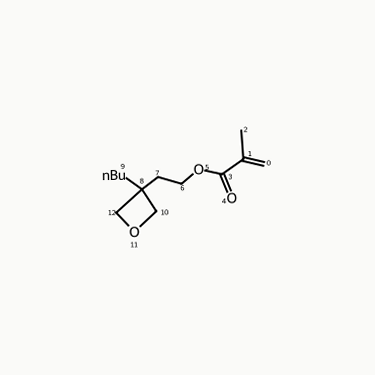 C=C(C)C(=O)OCCC1(CCCC)COC1